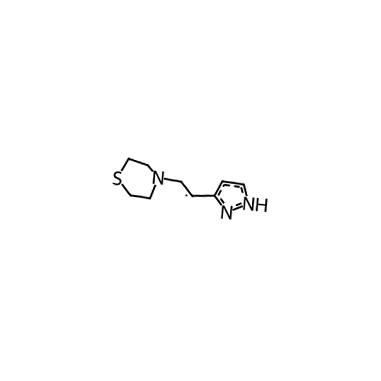 [CH](CN1CCSCC1)c1cc[nH]n1